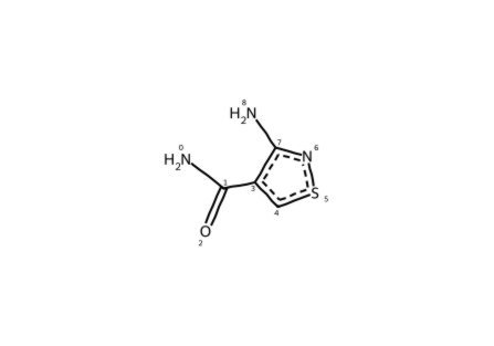 NC(=O)c1csnc1N